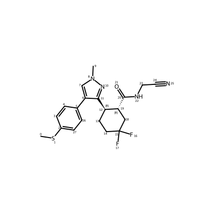 CSc1ccc(-c2cn(C)nc2[C@@H]2CCC(F)(F)C[C@H]2C(=O)NCC#N)cc1